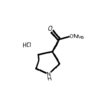 COC(=O)C1CCNC1.Cl